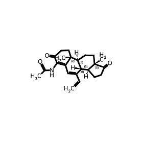 C=CC1=CC2=C(NC(C)=O)C(=O)CC[C@]2(C)[C@H]2CC[C@]3(C)C(=O)CC[C@H]3[C@H]12